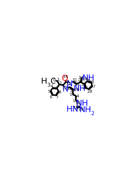 CCC(c1ccccc1)c1nc2c(CCCNC(=N)N)[nH]c(-c3c[nH]c4ccccc34)cn-2c1=O